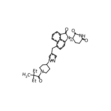 CCC(C)(CC)C(=O)N1CCC(n2cc(Cc3ccc4c5c(cccc35)C(=O)N4[C@@H]3CCC(=O)NC3=O)cn2)CC1